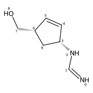 N=CN[C@H]1C=C[C@@H](CO)C1